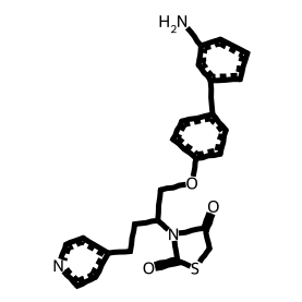 Nc1cccc(-c2ccc(OCC(CCc3ccncc3)N3C(=O)CSC3=O)cc2)c1